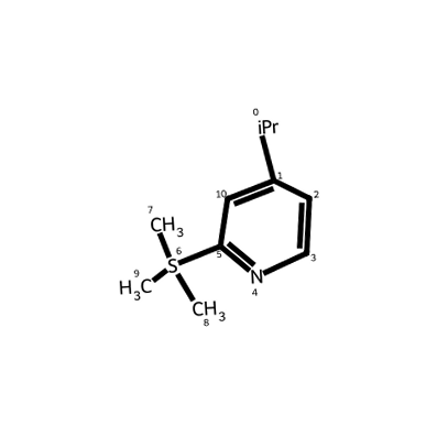 CC(C)c1ccnc(S(C)(C)C)c1